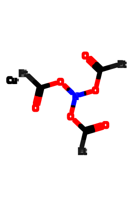 CCC(=O)ON(OC(=O)CC)OC(=O)CC.[Cu]